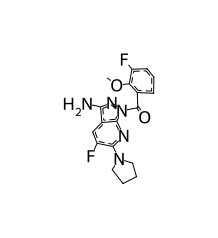 COc1c(F)cccc1C(=O)n1nc(N)c2cc(F)c(N3CCCC3)nc21